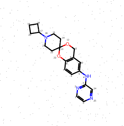 c1cnc(Nc2ccc3c(c2)COC2(CCN(C4CCC4)CC2)O3)cn1